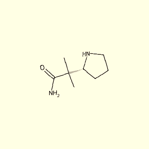 CC(C)(C(N)=O)[C@H]1CCCN1